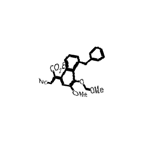 CCOC(=O)/C(=C\C#N)c1cc(OC)c(OCOC)c2c(Cc3ccccc3)cccc12